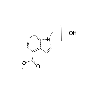 COC(=O)c1cccc2c1ccn2CC(C)(C)O